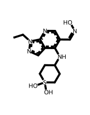 CCn1ncc2c(NC3CCS(O)(O)CC3)c(/C=N\O)cnc21